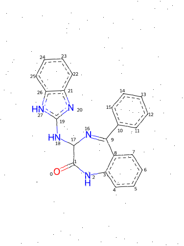 O=C1Nc2ccccc2C(c2ccccc2)=NC1Nc1nc2ccccc2[nH]1